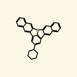 c1ccc2cc3c(cc2c1)c1cc(C2CCCCC2)cc2c4cc5ccccc5cc4n3c12